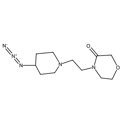 [N-]=[N+]=NC1CCN(CCN2CCOCC2=O)CC1